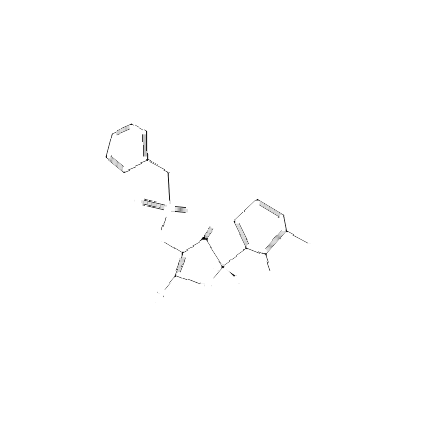 [2H][C@@]1(c2cccc(F)c2Cl)OC(N)=C(OS(=O)(=O)Cc2ccccc2)C1=O